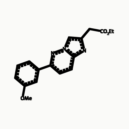 CCOC(=O)Cc1cn2nc(-c3cccc(OC)c3)ccc2n1